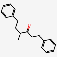 CC(CCc1ccccc1)C(=O)CCc1ccccc1